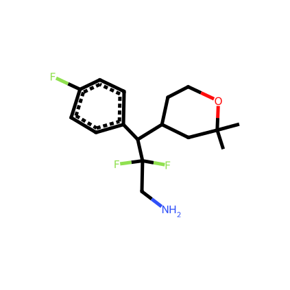 CC1(C)CC(C(c2ccc(F)cc2)C(F)(F)CN)CCO1